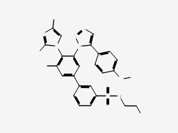 Cc1cn(-c2c(F)cc(-c3cccc(S(=O)(=O)NCCO)c3)cc2-n2nncc2-c2ccc(OC(F)(F)F)cc2)c(C)n1